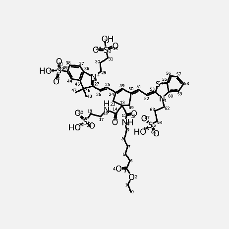 CCOC(=O)CCCCCNC(=O)C1(C(=O)NCCS(=O)(=O)O)CC(/C=C/C2=[N+](CCCS(=O)(=O)O)c3ccc(S(=O)(=O)O)cc3C2(C)C)=CC(=C/C=C2\Sc3ccccc3N2CCCS(=O)(=O)O)/C1